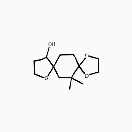 CC1(C)CC2(CCC13OCCO3)OCCC2O